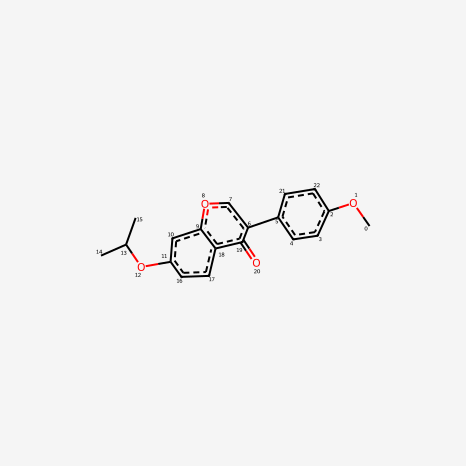 COc1ccc(-c2coc3cc(OC(C)C)ccc3c2=O)cc1